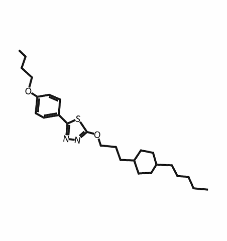 CCCCCC1CCC(CCCOc2nnc(-c3ccc(OCCCC)cc3)s2)CC1